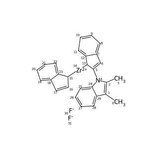 Cc1c(C)n(C2=Cc3ccccc3[CH]2[Zr+2][CH]2C=Cc3ccccc32)c2ccccc12.[F-].[F-]